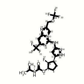 CC(C)NC(=O)O[C@@H]1CC[C@H](c2cc(Nc3nc(C(F)(F)F)cc4nc(COC(F)(F)F)cn34)n[nH]2)[C@@H]1F